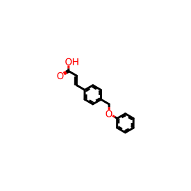 O=C(O)/C=C/c1ccc(COc2ccccc2)cc1